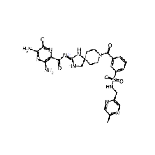 Cc1cnc(CNS(=O)(=O)c2cccc(C(=O)N3CCC4(CC3)CN/C(=N\C(=O)c3nc(Cl)c(N)nc3N)N4)c2)cn1